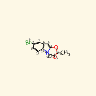 CC(=O)Oc1cc2cc(Br)ccc2n1C